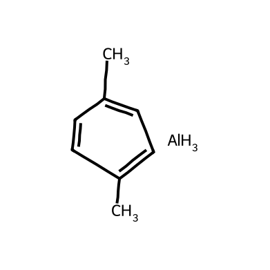 Cc1ccc(C)cc1.[AlH3]